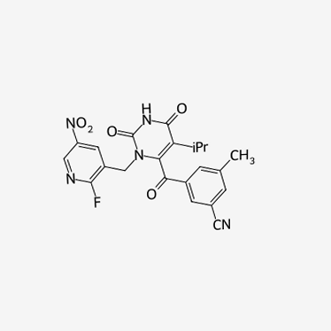 Cc1cc(C#N)cc(C(=O)c2c(C(C)C)c(=O)[nH]c(=O)n2Cc2cc([N+](=O)[O-])cnc2F)c1